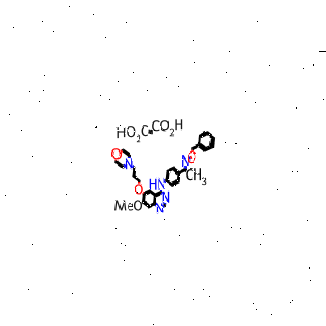 COc1cc2ncnc(Nc3ccc(/C(C)=N/OCc4ccccc4)cc3)c2cc1OCCCN1CCOCC1.O=C(O)CC(=O)O